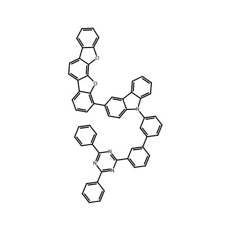 c1ccc(-c2nc(-c3ccccc3)nc(-c3cccc(-c4cccc(-n5c6ccccc6c6cc(-c7cccc8c7oc7c8ccc8c9ccccc9oc87)ccc65)c4)c3)n2)cc1